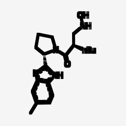 CCCC[C@H](CNO)C(=O)N1CCC[C@H]1c1nc2cc(C)ccc2[nH]1